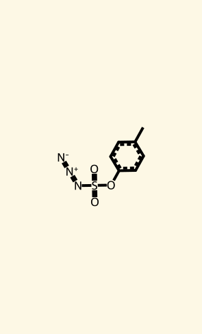 Cc1ccc(OS(=O)(=O)N=[N+]=[N-])cc1